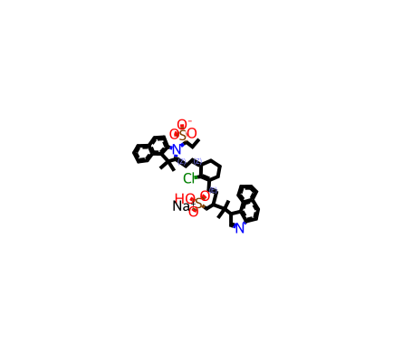 CCC(N1/C(=C\C=C2\CCCC(/C=C/C(CS(=O)(=O)O)C(C)(C)C3C=Nc4ccc5ccccc5c43)=C2Cl)C(C)(C)c2c1ccc1ccccc21)S(=O)(=O)[O-].[Na+]